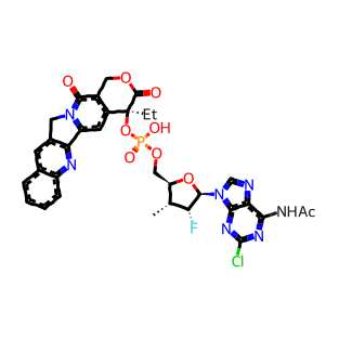 CC[C@@]1(OP(=O)(O)OC[C@H]2O[C@@H](n3cnc4c(NC(C)=O)nc(Cl)nc43)[C@H](F)[C@@H]2C)C(=O)OCc2c1cc1n(c2=O)Cc2cc3ccccc3nc2-1